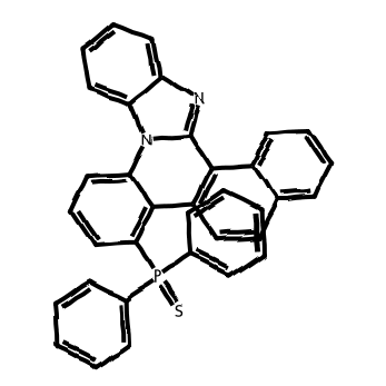 S=P(c1ccccc1)(c1ccccc1)c1cccc2c1c1ccc3ccccc3c1c1nc3ccccc3n21